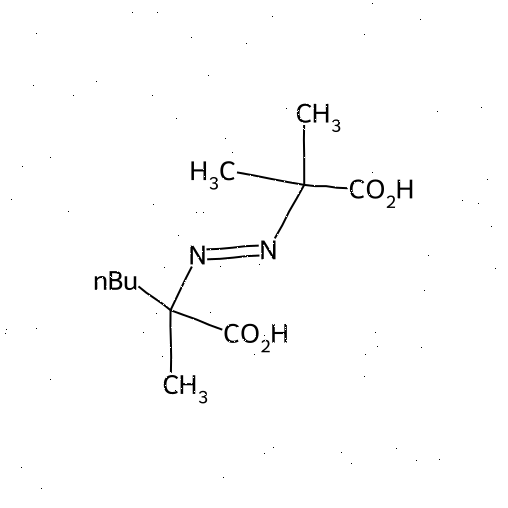 CCCCC(C)(N=NC(C)(C)C(=O)O)C(=O)O